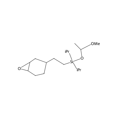 COC(C)O[Si](CCC1CCC2OC2C1)(C(C)C)C(C)C